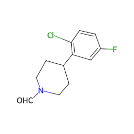 O=CN1CCC(c2cc(F)ccc2Cl)CC1